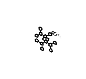 COc1ccc(-c2cc(-c3cc(-c4ccccc4)cc(-c4ccccc4)c3)c3ccc4c(-c5cc(-c6ccccc6)cc(-c6ccccc6)c5)cc(-c5cc(-c6ccccc6)cc(-c6ccccc6)c5)c5ccc2c3c54)cc1